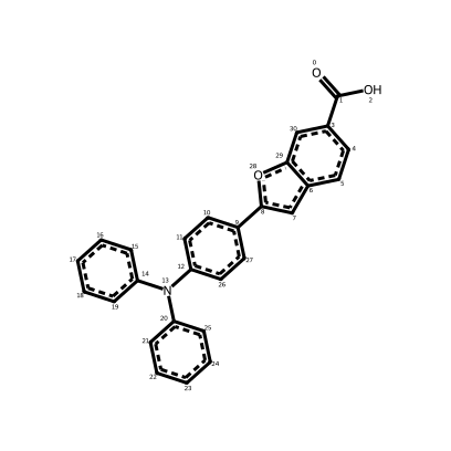 O=C(O)c1ccc2cc(-c3ccc(N(c4ccccc4)c4ccccc4)cc3)oc2c1